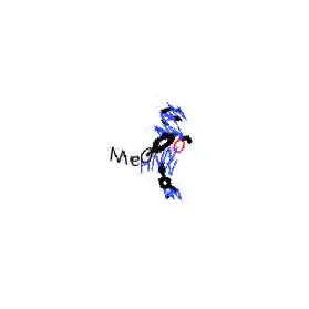 C=CC(=O)Nc1cc(Nc2cc(-c3ccc4c(cnn4C)c3)ncn2)c(OC)cc1N(C)CCN1CCN(C)[C@@H](C)C1